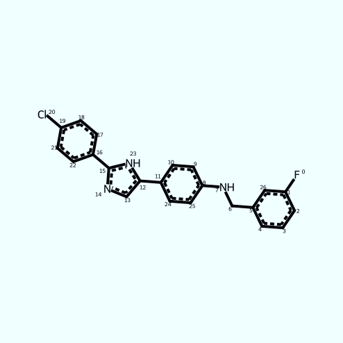 Fc1cccc(CNc2ccc(-c3cnc(-c4ccc(Cl)cc4)[nH]3)cc2)c1